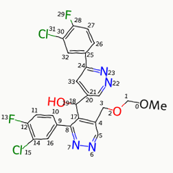 COCOCc1cnnc(-c2ccc(F)c(Cl)c2)c1C(O)c1cnnc(-c2ccc(F)c(Cl)c2)c1